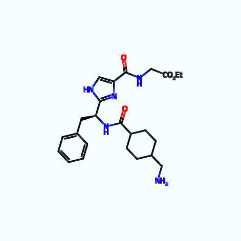 CCOC(=O)CNC(=O)c1c[nH]c([C@H](Cc2ccccc2)NC(=O)C2CCC(CN)CC2)n1